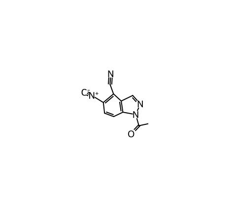 [C-]#[N+]c1ccc2c(cnn2C(C)=O)c1C#N